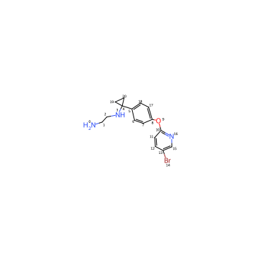 NCCNC1(c2ccc(Oc3ccc(Br)cn3)cc2)CC1